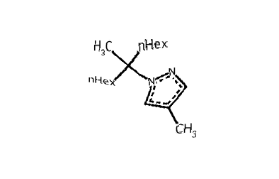 CCCCCCC(C)(CCCCCC)n1cc(C)cn1